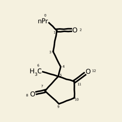 CCCC(=O)CCC1(C)C(=O)CCC1=O